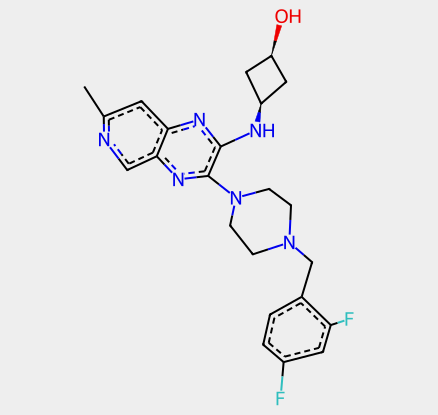 Cc1cc2nc(N[C@H]3C[C@@H](O)C3)c(N3CCN(Cc4ccc(F)cc4F)CC3)nc2cn1